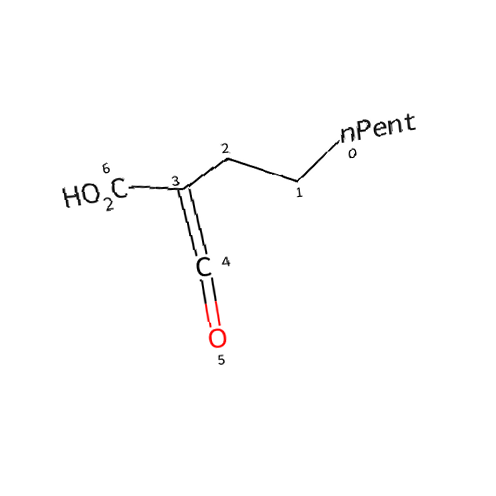 CCCCCCCC(=C=O)C(=O)O